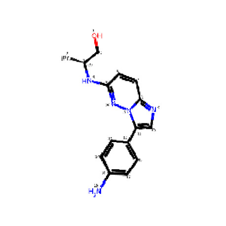 CC(C)[C@@H](CO)Nc1ccc2ncc(-c3ccc(N)cc3)n2n1